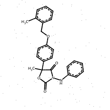 Cc1ccccc1COc1ccc(C2(C)OC(=O)N(Nc3ccccc3)C2=O)cc1